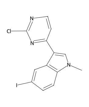 Cn1cc(-c2ccnc(Cl)n2)c2cc(I)ccc21